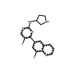 Fc1cnc(NC2CCNC2)nc1-c1cc(F)c2ncccc2c1